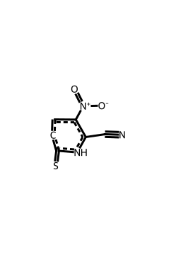 N#Cc1[nH]c(=S)ccc1[N+](=O)[O-]